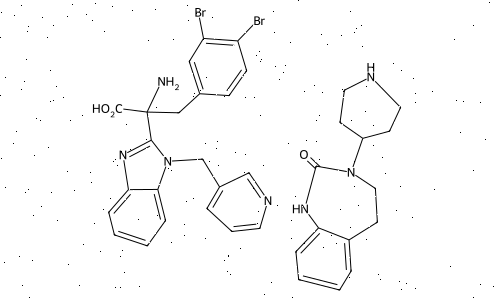 NC(Cc1ccc(Br)c(Br)c1)(C(=O)O)c1nc2ccccc2n1Cc1cccnc1.O=C1Nc2ccccc2CCN1C1CCNCC1